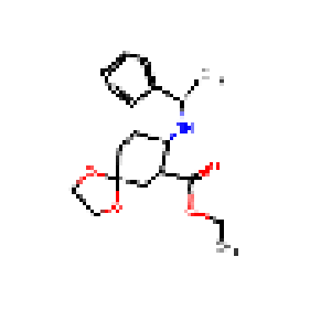 CCOC(=O)C1CC2(CC[C@H]1N[C@H](C)c1ccccc1)OCCO2